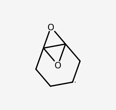 [CH]1CCC23OC2(C1)O3